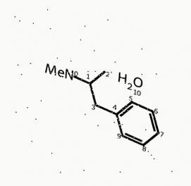 CNC(C)Cc1ccccc1.O